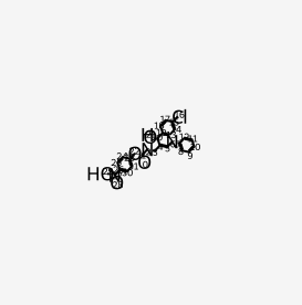 O=C(NCc1cn(-c2ccccc2)c2cc(Cl)ccc2c1=O)Oc1ccc([N+](=O)O)cc1